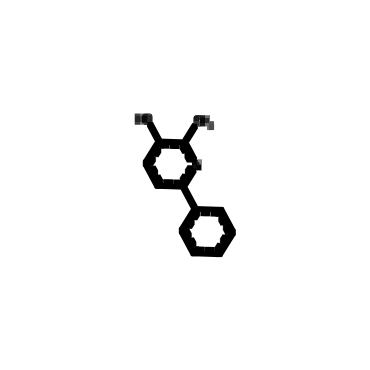 Cc1nc(-c2ccccc2)ccc1O